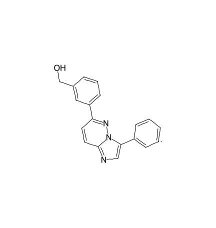 OCc1cccc(-c2ccc3ncc(-c4c[c]ccc4)n3n2)c1